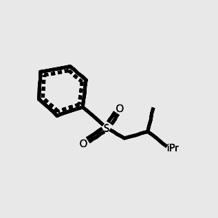 CC(C)C(C)CS(=O)(=O)c1ccccc1